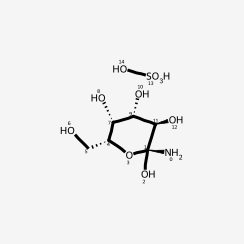 N[C@@]1(O)O[C@H](CO)[C@H](O)[C@H](O)[C@H]1O.O=S(=O)(O)O